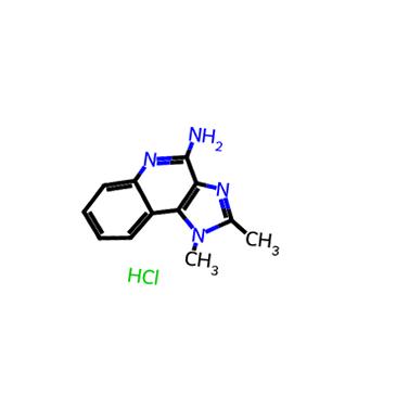 Cc1nc2c(N)nc3ccccc3c2n1C.Cl